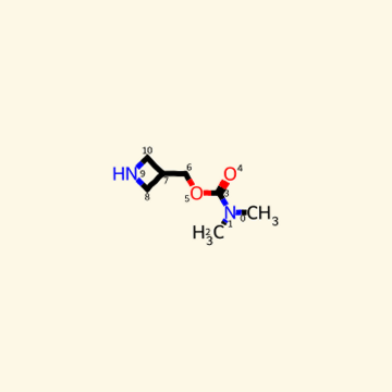 CN(C)C(=O)OCC1CNC1